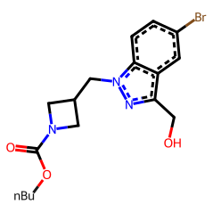 CCCCOC(=O)N1CC(Cn2nc(CO)c3cc(Br)ccc32)C1